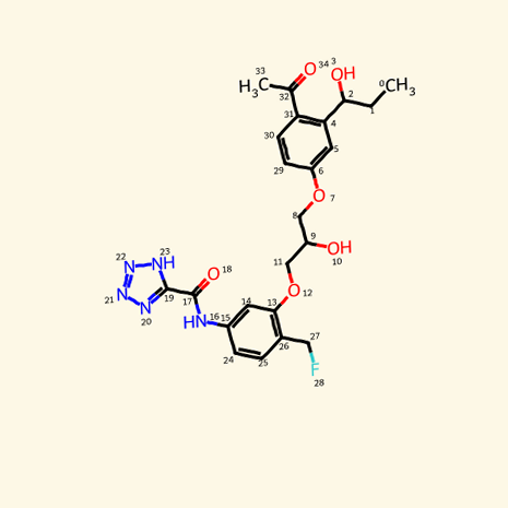 CCC(O)c1cc(OCC(O)COc2cc(NC(=O)c3nnn[nH]3)ccc2CF)ccc1C(C)=O